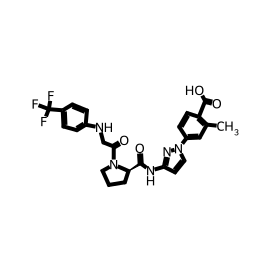 Cc1cc(-n2ccc(NC(=O)[C@H]3CCCN3C(=O)CNc3ccc(C(F)(F)F)cc3)n2)ccc1C(=O)O